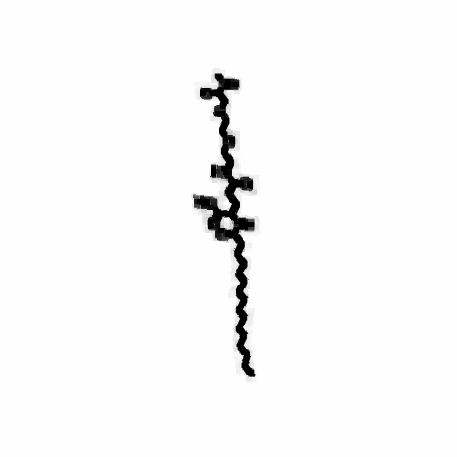 CCCCCCCCCCCCCCCC(=O)NC(CCC(=O)NCCOCCOCC(=O)NC)C(=O)O